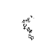 CCOC(=O)COP(C)(=O)c1ccc(Nc2cnc3nnn(Cc4ccc5ncccc5c4)c3n2)cc1